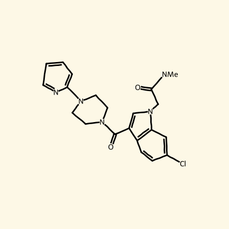 CNC(=O)Cn1cc(C(=O)N2CCN(c3ccccn3)CC2)c2ccc(Cl)cc21